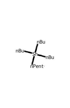 CCCC[CH][Sn]([CH2]CCC)([CH2]CCC)[CH2]CCC